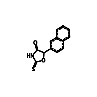 O=C1NC(=S)OC1c1ccc2ccccc2c1